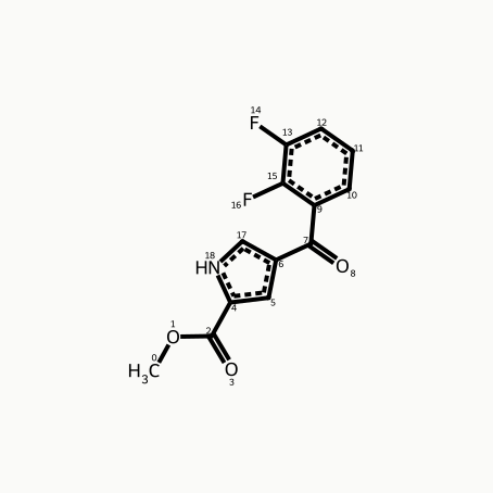 COC(=O)c1cc(C(=O)c2cccc(F)c2F)c[nH]1